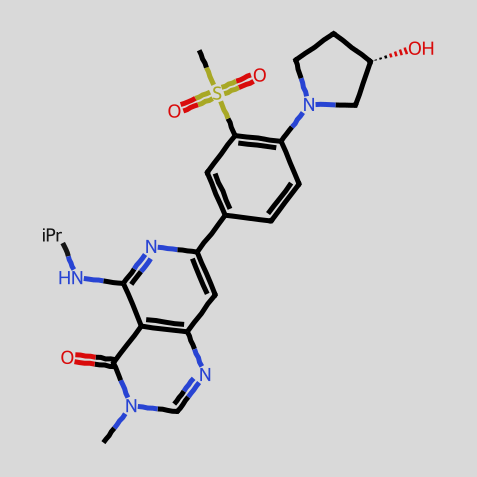 CC(C)Nc1nc(-c2ccc(N3CC[C@H](O)C3)c(S(C)(=O)=O)c2)cc2ncn(C)c(=O)c12